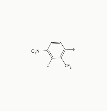 O=[N+]([O-])c1ccc(F)c(C(F)(F)F)c1F